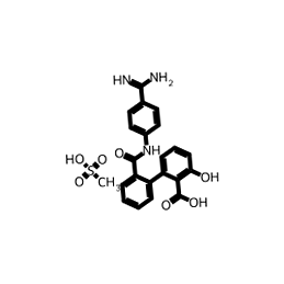 CS(=O)(=O)O.N=C(N)c1ccc(NC(=O)c2ccccc2-c2cccc(O)c2C(=O)O)cc1